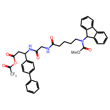 COC(=O)N(CCCCC(=O)NCC(=O)NC(CC(=O)OC(=O)C(F)(F)F)c1ccc(-c2ccccc2)cc1)C1c2ccccc2-c2ccccc21